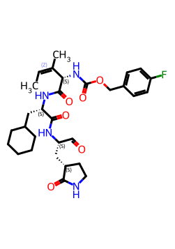 C/C=C(/C)[C@H](NC(=O)OCc1ccc(F)cc1)C(=O)N[C@@H](CC1CCCCC1)C(=O)N[C@H](C=O)C[C@@H]1CCNC1=O